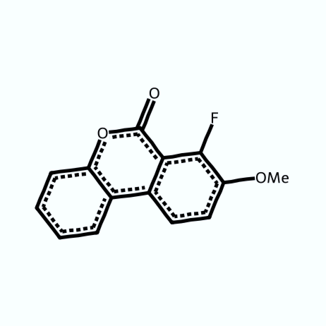 COc1ccc2c(c1F)c(=O)oc1ccccc12